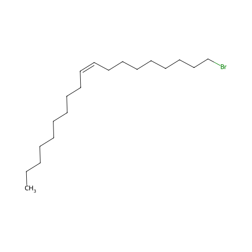 CCCCCCCCC/C=C\CCCCCCCCBr